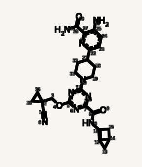 N#CC1(COc2nc(C(=O)NC3=C4CC4C3)nc(N3CCC(c4ccc(N)c(C(N)=O)n4)CC3)n2)CC1